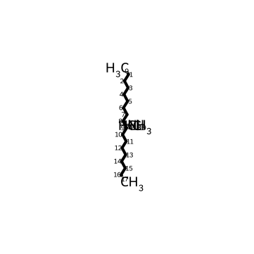 CCCCCCCCCCCCCCCCCC.Cl.Cl.N